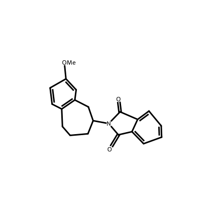 COc1ccc2c(c1)CC(N1C(=O)c3ccccc3C1=O)CCC2